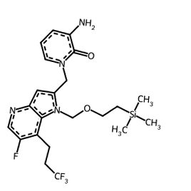 C[Si](C)(C)CCOCn1c(Cn2cccc(N)c2=O)cc2ncc(F)c(CCC(F)(F)F)c21